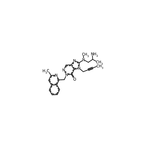 CC#CCn1c(N(C)CC(C)N)nc2cnn(Cc3nc(C)cc4ccccc34)c(=O)c21